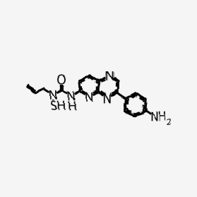 C=CCN(S)C(=O)Nc1ccc2ncc(-c3ccc(N)cc3)nc2n1